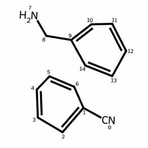 N#Cc1ccccc1.NCc1ccccc1